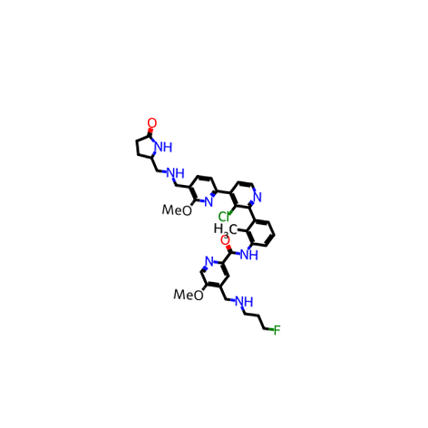 COc1cnc(C(=O)Nc2cccc(-c3nccc(-c4ccc(CNCC5CCC(=O)N5)c(OC)n4)c3Cl)c2C)cc1CNCCCF